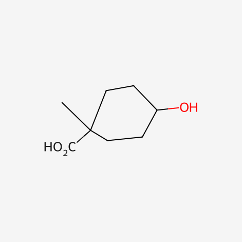 CC1(C(=O)O)CCC(O)CC1